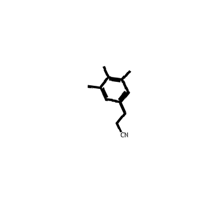 Cc1cc(CCC#N)cc(C)c1C